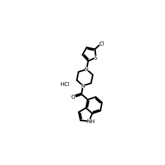 Cl.O=C(c1cccc2[nH]ccc12)N1CCN(c2ccc(Cl)s2)CC1